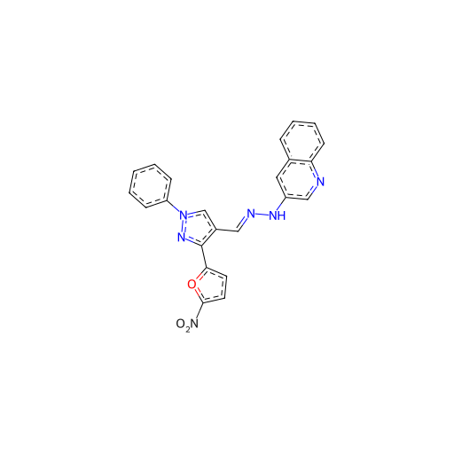 O=[N+]([O-])c1ccc(-c2nn(-c3ccccc3)cc2C=NNc2cnc3ccccc3c2)o1